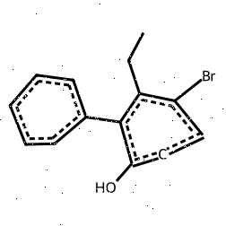 CCc1c(Br)ccc(O)c1-c1ccccc1